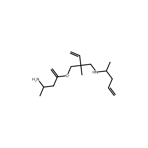 C=CCC(C)NCC(C)(C=C)COC(=C)CC(C)N